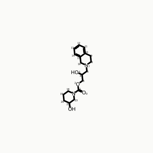 O=C(OCC(O)CN1CCc2ccccc2C1)N1CCCC(O)C1